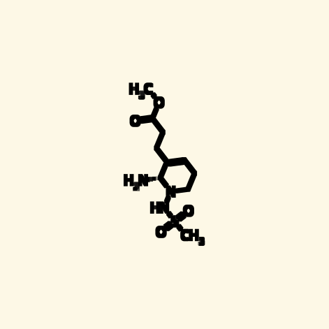 COC(=O)CCC1=CCCN(NS(C)(=O)=O)[C@@H]1N